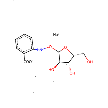 O=C([O-])c1ccccc1NOC1O[C@H](CO)[C@H](O)[C@H]1O.[Na+]